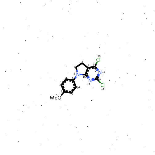 COc1ccc(N2CCc3c(Cl)nc(Cl)nc32)cc1